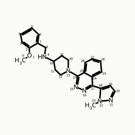 COc1ccccc1CNC1CCN(c2nnc(-c3ccnn3C)c3ccccc23)CC1